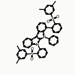 Cc1cc(C)cc(S(=O)(=O)c2ccccc2-c2cccc3c4c5ccccc5n(-c5ccccc5S(=O)(=O)c5cc(C)cc(C)c5)c4n(-c4ccccc4)c23)c1